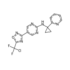 FC(F)(Cl)c1nc(-c2cnc(NC3(c4ccccn4)CC3)nc2)no1